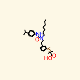 CCCCCCCN(CCc1cccc(SC(C)(C)C(=O)O)c1)C(=O)Nc1ccc(C(C)C)cc1